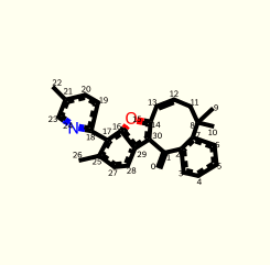 C=C1c2ccccc2C(C)(C)C/C=C\c2oc3c(-c4ccc(C)cn4)c(C)ccc3c21